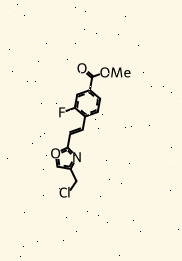 COC(=O)c1ccc(/C=C/c2nc(CCl)co2)c(F)c1